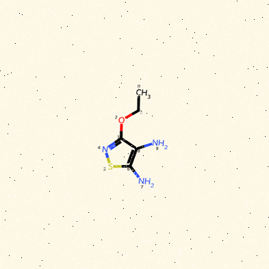 CCOc1nsc(N)c1N